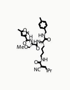 COC[C@H](NC(=O)c1cc(C)on1)C(=O)N[C@@H](CCCCNC(=O)C(C#N)=CC(C)C)C(=O)NCc1ccc(C)cc1